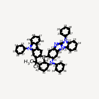 CC1(C)c2cc3c(cc2B2c4cc5nc6n(-c7ccccc7)c7ccccc7n6c5cc4N(c4ccccc4)c4cccc1c42)c1ccccc1n3-c1ccccc1